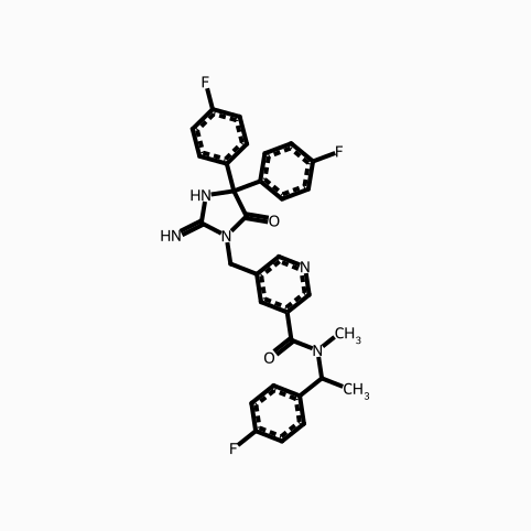 CC(c1ccc(F)cc1)N(C)C(=O)c1cncc(CN2C(=N)NC(c3ccc(F)cc3)(c3ccc(F)cc3)C2=O)c1